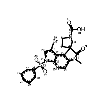 CN1C(=O)C2(CCN(C(=O)O)C2)c2c1cnc1c2c(Br)cn1S(=O)(=O)c1ccccc1